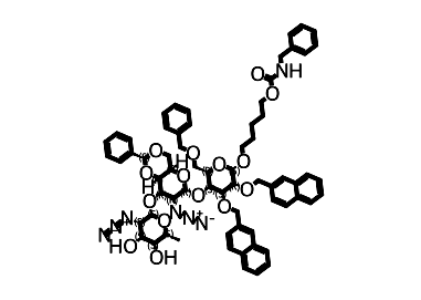 C[C@@H]1O[C@@H](O[C@@H]2[C@@H](N=[N+]=[N-])[C@@H](O[C@@H]3[C@H](OCc4ccc5ccccc5c4)[C@@H](OCc4ccc5ccccc5c4)[C@@H](OCCCCCOC(=O)NCc4ccccc4)O[C@@H]3COCc3ccccc3)O[C@@H]3CO[C@H](c4ccccc4)O[C@H]23)[C@@H](N=[N+]=[N-])[C@H](O)[C@@H]1O